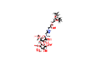 CC(=O)N(Cc1cn(CC(O)COCCC[Si](C)(O[Si](C)(C)C)O[Si](C)(C)C)nn1)[C@@H]1O[C@@H](CO)[C@@H](O[C@@H]2OC(CO)[C@@H](O)[C@H](O)C2O)C(O)C1O